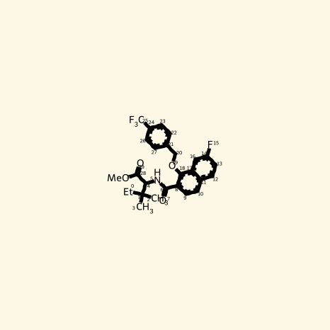 CCC(C)(C)C(NC(=O)c1ccc2ccc(F)cc2c1OCc1ccc(C(F)(F)F)cc1)C(=O)OC